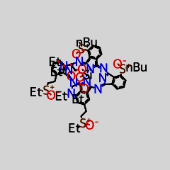 CCCC[S+]([O-])c1cccc2c1C1=NC/2=N\c2c3cc(CC[S+]([O-])CC)ccc3c3n2[Si](OC(=O)CN(CC)CC)(OC(=O)CN(CC)CC)n2/c(c4cccc([S+]([O-])CCCC)c4/c2=N/C2=NC(=N\3)/c3c(CC[S+]([O-])CC)cccc32)=N\1